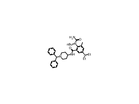 CCCCN(C(N)=O)c1c(C)cc(N(CC)CC)cc1C(=O)NC1CCN(C(c2ccccc2)c2ccccc2)CC1